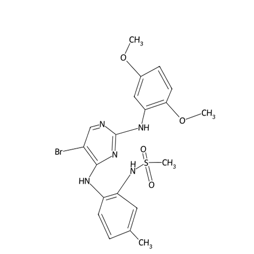 COc1ccc(OC)c(Nc2ncc(Br)c(Nc3ccc(C)cc3NS(C)(=O)=O)n2)c1